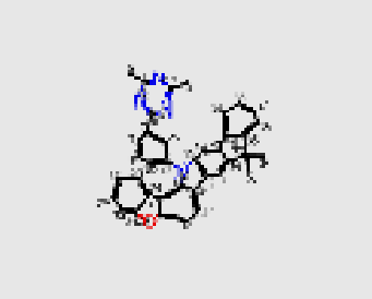 Cc1nc(C)nc(-c2cccc(-n3c4cc5c(cc4c4ccc6oc7ccccc7c6c43)C(C)(C)c3ccccc3-5)c2)n1